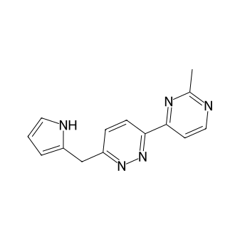 Cc1nccc(-c2ccc(Cc3ccc[nH]3)nn2)n1